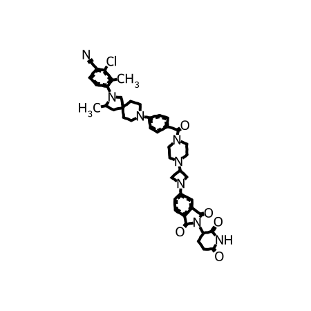 Cc1c(N2CC3(CCN(c4ccc(C(=O)N5CCN(C6CN(c7ccc8c(c7)C(=O)N(C7CCC(=O)NC7=O)C8=O)C6)CC5)cc4)CC3)CC2C)ccc(C#N)c1Cl